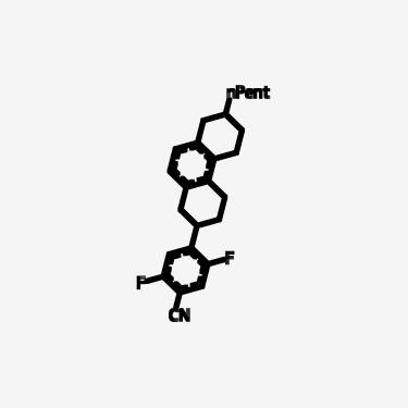 CCCCCC1CCc2c(ccc3c2CCC(c2cc(F)c(C#N)cc2F)C3)C1